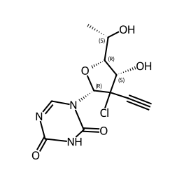 C#CC1(Cl)[C@@H](O)[C@@H]([C@H](C)O)O[C@H]1n1cnc(=O)[nH]c1=O